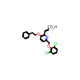 O=C(O)C=Cc1nc(COc2c(Cl)cccc2Cl)ccc1OCCc1ccccc1